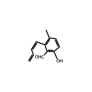 C=C/C=C\c1c(C)ccc(O)c1C=O